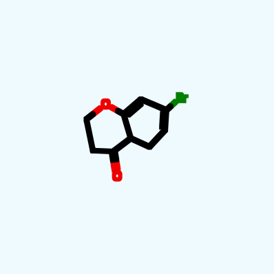 O=C1CCOC2=CC(Br)=CCC12